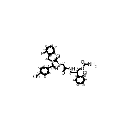 NC(=O)OCC(CNC(=O)Cn1nc(-c2ccc(Cl)cc2)n(Cc2ccccc2F)c1=O)c1ccccc1Cl